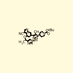 Cc1c(-c2cc(OC(C)c3cn(C(C)C)nn3)c3c(C#N)cnn3c2)nnn1C1CCN(C(=O)OC(C)(C)C)CC1